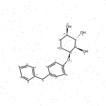 O[C@@H]1[C@@H](O)[C@@H](Oc2ccc(Cc3ccccc3)cc2)OC[C@H]1O